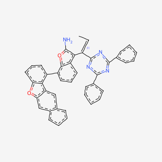 C/C=C(/c1nc(-c2ccccc2)nc(-c2ccccc2)n1)c1c(N)oc2c(-c3cccc4oc5cc6ccccc6cc5c34)cccc12